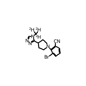 [2H]C([2H])([2H])n1cnnc1C1CCN(c2c(Br)cccc2C#N)CC1